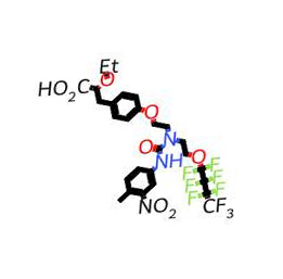 CCOC(Cc1ccc(OCCN(CCOC(F)(F)C(F)(F)C(F)(F)C(F)(F)F)C(=O)Nc2ccc(C)c([N+](=O)[O-])c2)cc1)C(=O)O